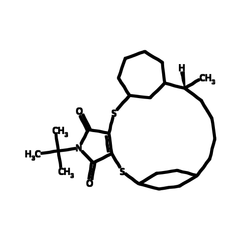 C[C@@H]1CCCCC2CCC(CC2)SC2=C(SC3CCCCC1C3)C(=O)N(C(C)(C)C)C2=O